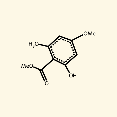 COC(=O)c1c(C)cc(OC)cc1O